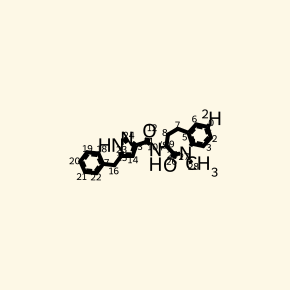 [2H]c1ccc2c(c1)CC[C@H](NC(=O)c1cc(Cc3ccccc3)[nH]n1)C(=O)N2C